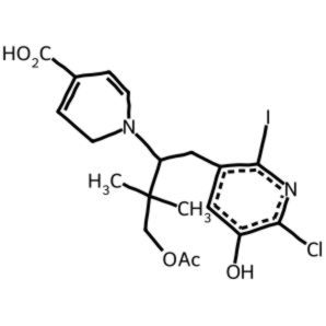 CC(=O)OCC(C)(C)C(Cc1cc(O)c(Cl)nc1I)N1C=CC(C(=O)O)=CC1